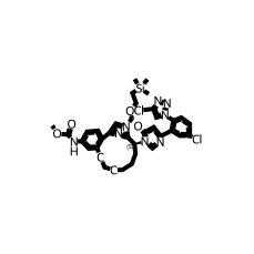 COC(=O)Nc1ccc2c(c1)CCCCCC[C@H](n1cnc(-c3cc(Cl)ccc3-n3cc(Cl)nn3)cc1=O)c1nc-2cn1COCC[Si](C)(C)C